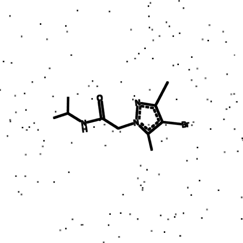 Cc1nn(CC(=O)NC(C)C)c(C)c1Br